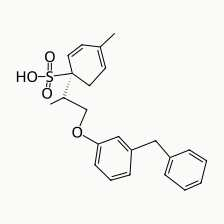 CC1=CC[C@@](C(C)COc2cccc(Cc3ccccc3)c2)(S(=O)(=O)O)C=C1